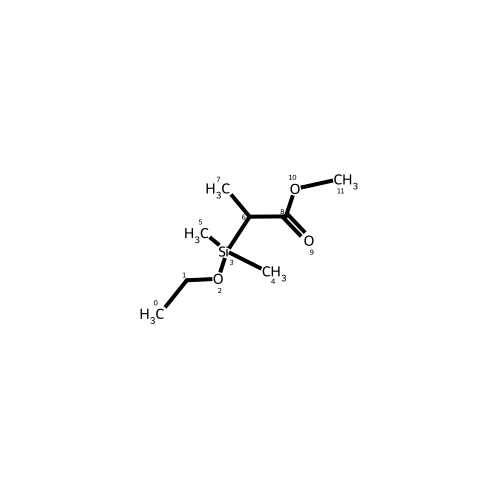 CCO[Si](C)(C)C(C)C(=O)OC